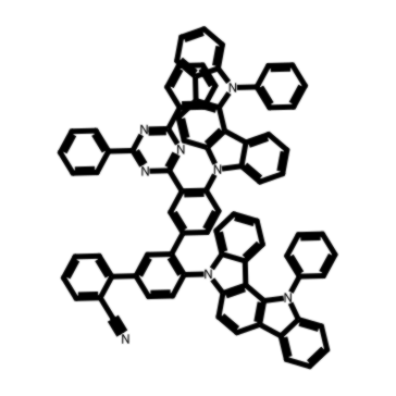 N#Cc1ccccc1-c1ccc(-n2c3ccccc3c3c2ccc2c4ccccc4n(-c4ccccc4)c23)c(-c2ccc(-n3c4ccccc4c4c3ccc3c5ccccc5n(-c5ccccc5)c34)c(-c3nc(-c4ccccc4)nc(-c4ccccc4)n3)c2)c1